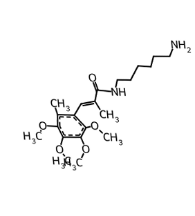 COc1c(C)c(/C=C(\C)C(=O)NCCCCCCN)c(OC)c(OC)c1OC